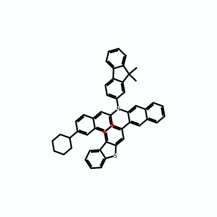 CC1(C)c2ccccc2-c2ccc(N(c3ccc4cc(C5CCCCC5)ccc4c3)c3cc4ccccc4cc3-c3ccc4c(c3)sc3ccccc34)cc21